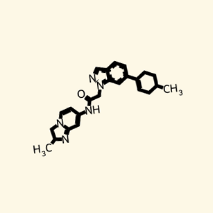 CC1CC=C(c2ccc3cnn(CC(=O)NC4=CC5=NC(C)CN5C=C4)c3c2)CC1